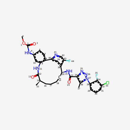 COC(=O)Nc1ccc2c(c1)NC(=O)[C@H](C)CCCC[C@H](NC(=O)c1nnn(-c3cccc(Cl)c3F)c1C)c1cc-2ncc1F